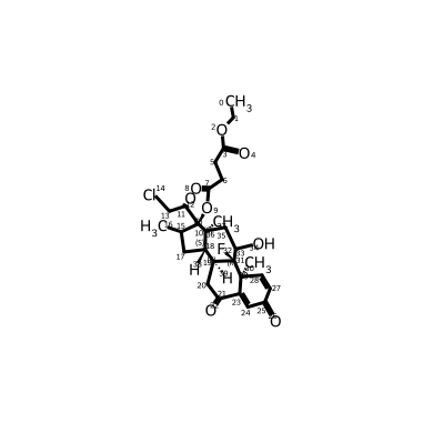 CCOC(=O)CCC(=O)O[C@]1(C(=O)CCl)C(C)C[C@H]2[C@@H]3CC(=O)C4=CC(=O)C=C[C@]4(C)[C@@]3(F)C(O)C[C@@]21C